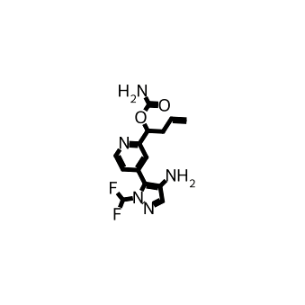 C=CCC(OC(N)=O)c1cc(-c2c(N)cnn2C(F)F)ccn1